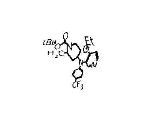 CCOc1ccncc1N(c1ccc(C(F)(F)F)cc1)C1CCN(C(=O)OC(C)(C)C)C(C)C1